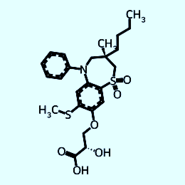 CCCC[C@@]1(C)CN(c2ccccc2)c2cc(SC)c(OC[C@H](O)C(=O)O)cc2S(=O)(=O)C1